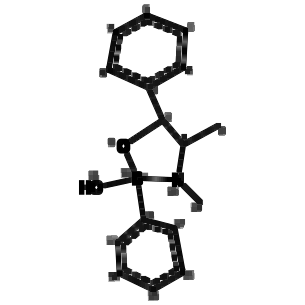 CC1C(c2ccccc2)O[B-](O)(c2ccccc2)N1C